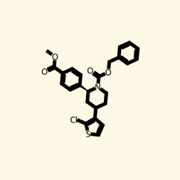 COC(=O)c1ccc([C@@H]2CC(c3ccsc3Cl)CCN2C(=O)OCc2ccccc2)cc1